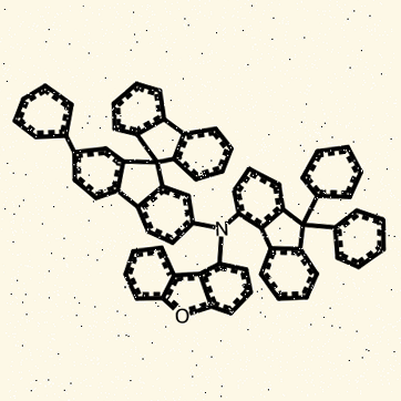 c1ccc(-c2ccc3c(c2)C2(c4ccccc4-c4ccccc42)c2cc(N(c4cccc5c4-c4ccccc4C5(c4ccccc4)c4ccccc4)c4cccc5oc6ccccc6c45)ccc2-3)cc1